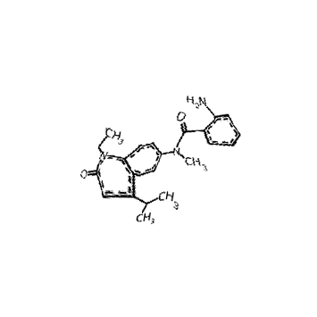 CCn1c(=O)cc(C(C)C)c2cc(N(C)C(=O)c3ccccc3N)ccc21